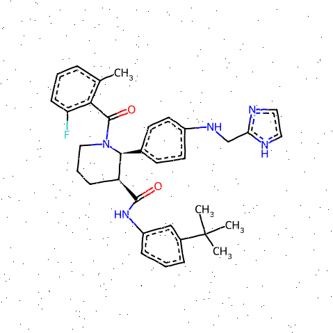 Cc1cccc(F)c1C(=O)N1CCC[C@H](C(=O)Nc2cccc(C(C)(C)C)c2)[C@@H]1c1ccc(NCc2ncc[nH]2)cc1